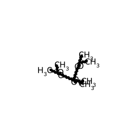 CCCCCC(CCCCC)CC(=O)OCCCCCCCCC1(CCCCCCCCOC(=O)CC(CCCCC)CCCCC)OCC(CCN(C)CC)O1